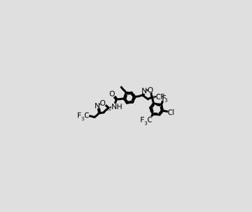 Cc1cc(C2=NO[C@@](c3cc(C(F)(F)F)cc(Cl)c3F)(C(F)(F)F)C2)ccc1C(=O)N[C@@H]1CC(CC(F)(F)F)=NO1